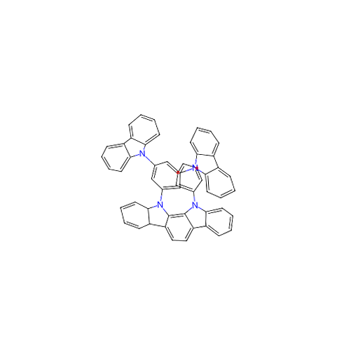 C1=CC2c3ccc4c5ccccc5n(-c5ccccc5)c4c3N(c3cc(-n4c5ccccc5c5ccccc54)cc(-n4c5ccccc5c5ccccc54)c3)C2C=C1